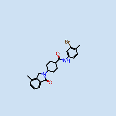 Cc1ccc(NC(=O)C2CCC(N3Cc4c(C)cccc4C3=O)CC2)cc1Br